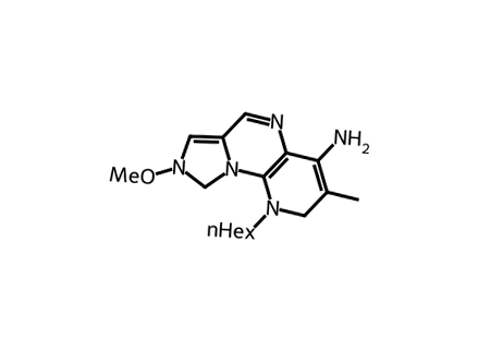 CCCCCCN1CC(C)=C(N)C2=C1N1CN(OC)C=C1C=N2